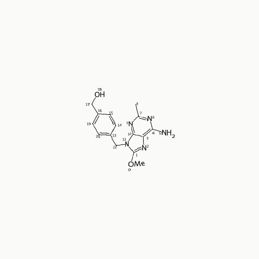 COc1nc2c(N)nc(C)nc2n1Cc1ccc(CO)cc1